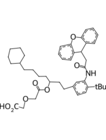 CC(C)(C)c1ccc(CCC(CCCCC2CCCCC2)OC(=O)COCC(=O)O)cc1NC(=O)CC1c2ccccc2Oc2ccccc21